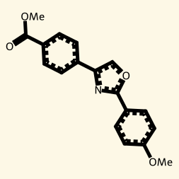 COC(=O)c1ccc(-c2coc(-c3ccc(OC)cc3)n2)cc1